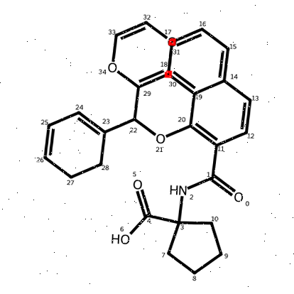 O=C(NC1(C(=O)O)CCCC1)c1ccc2ccccc2c1OC(C1=CC=CCC1)C1=COC=CO1